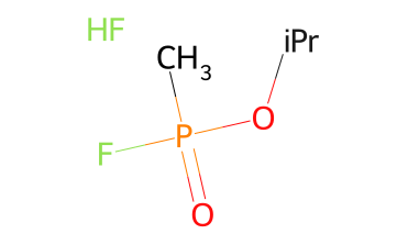 CC(C)OP(C)(=O)F.F